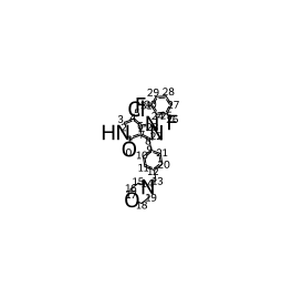 O=c1[nH]cc(Cl)c2c1c(-c1ccc(CN3CCOCC3)cc1)nn2-c1c(F)cccc1F